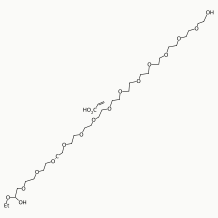 C=CC(=O)O.CCOC(O)COCCOCCOCCOCCOCCOCCOCCOCCOCCOCCOCCOCCOCCO